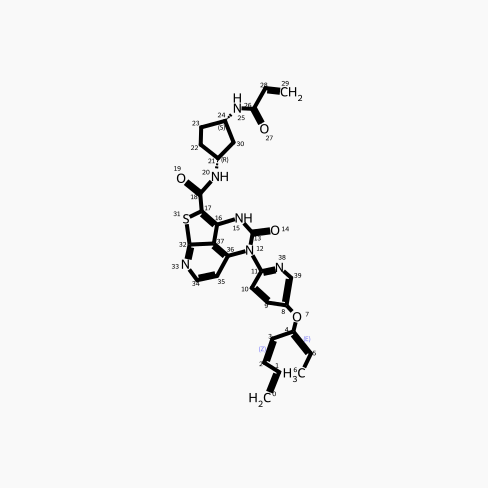 C=C/C=C\C(=C/C)Oc1ccc(N2C(=O)Nc3c(C(=O)N[C@@H]4CC[C@H](NC(=O)C=C)C4)sc4nccc2c34)nc1